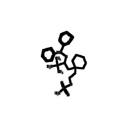 CC(C)(C)C(CC1(CCOS(C)(=O)=O)CCCCC1)O[SiH](c1ccccc1)c1ccccc1